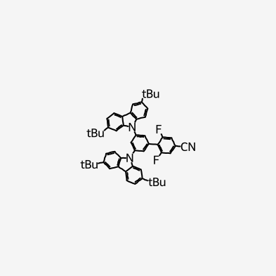 CC(C)(C)c1ccc2c(c1)c1ccc(C(C)(C)C)cc1n2-c1cc(-c2c(F)cc(C#N)cc2F)cc(-n2c3ccc(C(C)(C)C)cc3c3ccc(C(C)(C)C)cc32)c1